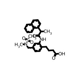 CC(C(=O)Nc1cc(CN(C)S(C)(=O)=O)ccc1CCCC(=O)O)c1cccc2ccccc12